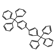 c1ccc(C(c2ccccc2)(c2ccccc2)c2ccc(-c3ccc(C(c4ccccc4)(c4ccccc4)c4ccccc4)cc3)cc2)cc1